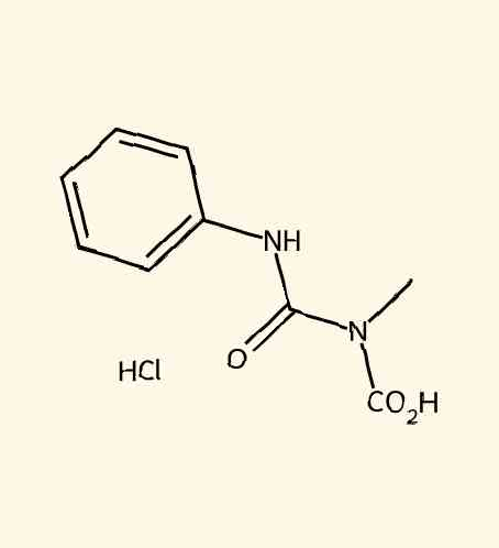 CN(C(=O)O)C(=O)Nc1ccccc1.Cl